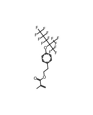 C=C(C)C(=O)OCCc1ccc(OC(C(F)(F)F)(C(F)(F)F)C(F)(F)C(F)(F)C(F)(F)F)cc1